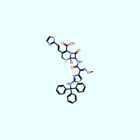 CON=C(C(=O)NC1C(=O)N2C(C(=O)O)=C(C=Cc3nccs3)CS[C@@H]12)c1csc(NC(c2ccccc2)(c2ccccc2)c2ccccc2)n1